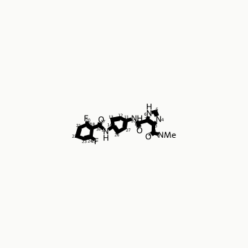 CNC(=O)c1nc[nH]c1C(=O)Nc1ccc(NC(=O)c2c(F)cccc2F)cc1